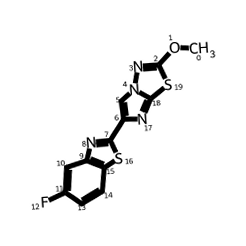 COc1nn2cc(-c3nc4cc(F)ccc4s3)nc2s1